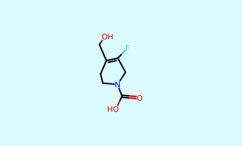 O=C(O)N1CCC(CO)=C(F)C1